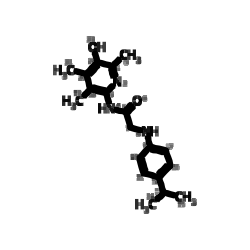 Cc1nc(NC(=O)CNc2ccc(C(C)C)cc2)c(C)c(C)c1O